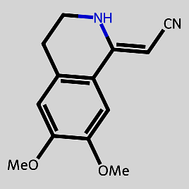 COc1cc2c(cc1OC)/C(=C/C#N)NCC2